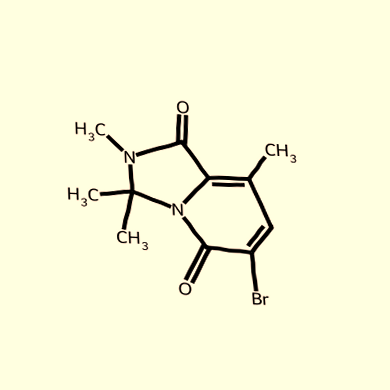 Cc1cc(Br)c(=O)n2c1C(=O)N(C)C2(C)C